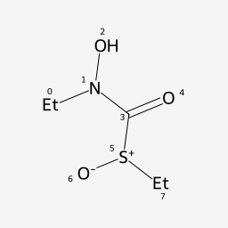 CCN(O)C(=O)[S+]([O-])CC